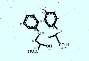 CC(Oc1ccc(O)cc1)C(=O)O.O=C(O)C(O)COc1ccccc1